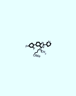 COCCCN(C)c1nc(-c2cccnc2)nc2ccc(-c3ccc(F)cc3F)cc12